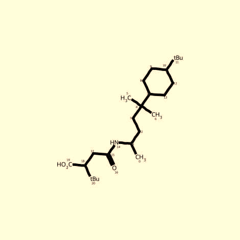 CC(CCC(C)(C)C1CCC(C(C)(C)C)CC1)NC(=O)CC(C(=O)O)C(C)(C)C